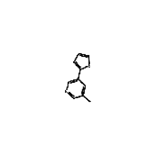 Cc1cncc(-c2cccs2)c1